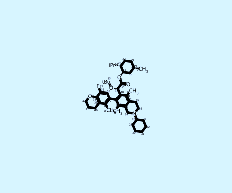 Cc1c(-c2c(C)c3c(c(C)c2[C@H](OC(C)(C)C)C(=O)O[C@@H]2C[C@H](C)CC[C@H]2C(C)C)CCN(C2CCCCC2)C3)cc(F)c2c1CCCO2